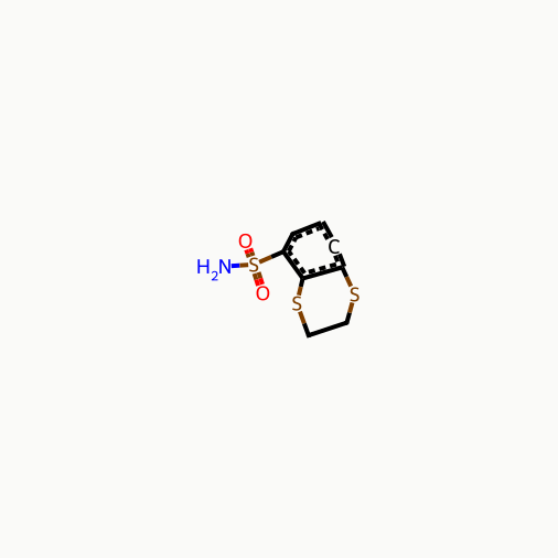 NS(=O)(=O)c1cccc2c1SCCS2